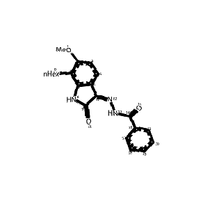 CCCCCCc1c(OC)ccc2c1NC(=O)/C2=N\NC(=O)c1ccccc1